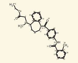 CCOC(=O)CN(C)C1CCCN(C(=O)c2ccc(NC(=O)c3ccccc3C)cc2)c2ccccc21